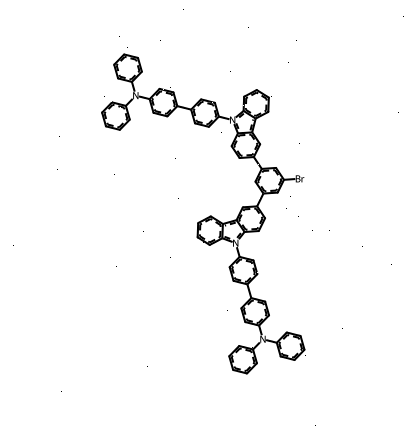 Brc1cc(-c2ccc3c(c2)c2ccccc2n3-c2ccc(-c3ccc(N(c4ccccc4)c4ccccc4)cc3)cc2)cc(-c2ccc3c(c2)c2ccccc2n3-c2ccc(-c3ccc(N(c4ccccc4)c4ccccc4)cc3)cc2)c1